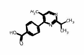 Cc1cnc(C(C)C)nc1-c1ccc(C(=O)O)cc1